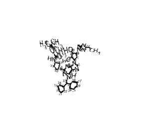 CCc1nnn([C@H]2C[C@@H](n3cnc4c(NCC(c5ccccc5)c5ccccc5)nc(N5CCC(NC(=O)OC(C)(C)C)C5)nc43)C(O)C2O)n1